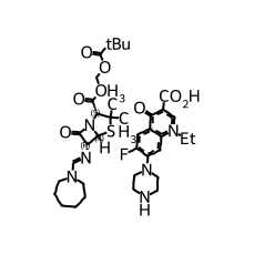 CC(C)(C)C(=O)OCOC(=O)[C@@H]1N2C(=O)[C@@H](N=CN3CCCCCC3)[C@H]2SC1(C)C.CCn1cc(C(=O)O)c(=O)c2cc(F)c(N3CCNCC3)cc21